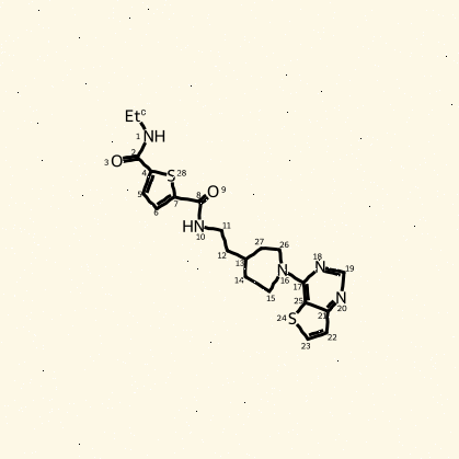 CCNC(=O)c1ccc(C(=O)NCCC2CCN(c3ncnc4ccsc34)CC2)s1